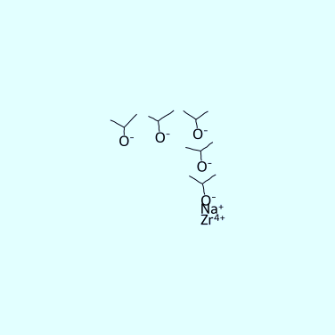 CC(C)[O-].CC(C)[O-].CC(C)[O-].CC(C)[O-].CC(C)[O-].[Na+].[Zr+4]